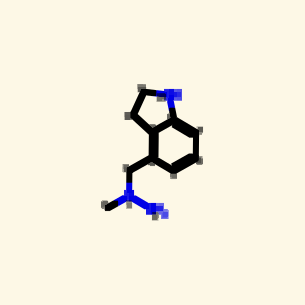 CN(N)Cc1cccc2c1CCN2